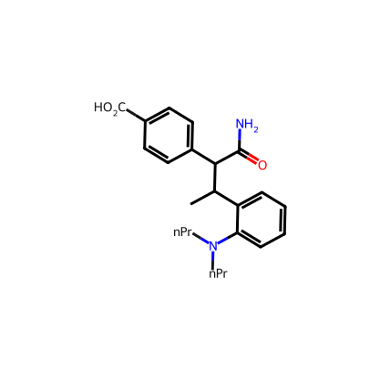 CCCN(CCC)c1ccccc1C(C)C(C(N)=O)c1ccc(C(=O)O)cc1